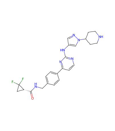 O=C(NCc1ccc(-c2ccnc(Nc3cnn(C4CCNCC4)c3)n2)cc1)[C@@H]1CC1(F)F